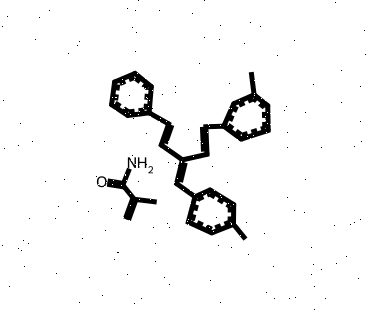 C=C(C)C(N)=O.Cc1ccc(C=C(C=Cc2ccccc2)C=Cc2cccc(C)c2)cc1